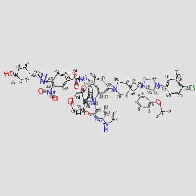 CC(C)Oc1ccccc1[C@H]1CN(c2ccc(Cl)c(F)c2)CCN1C1CC2(CCN(c3ccc(C(=O)NS(=O)(=O)c4ccc(NC[C@H]5CC[C@](C)(O)CC5)c([N+](=O)[O-])c4)c(N4c5cc6cc[nH]c6nc5O[C@H]5COCC[C@@H]54)c3)CC2)C1